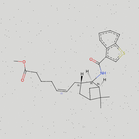 COC(=O)CCC/C=C\C[C@H]1CC2C[C@@H]([C@@H]1NC(=O)c1csc3ccccc13)C2(C)C